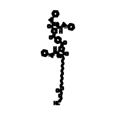 C#CCOCC(=O)OCCCCCCCCCCCCNC(=O)[C@@H]1CN(C(=O)c2ccc(C(=O)N3C[C@@H](C(=O)N[C@H]4C[C@@H]4c4ccccc4)[C@H](C(=O)N[C@H]4C[C@@H]4c4ccccc4)C3)cc2)C[C@H]1C(=O)N[C@H]1C[C@@H]1c1ccccc1